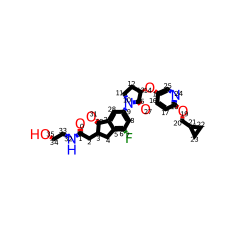 O=C(CC1Cc2c(F)cc(N3CC[C@@H](Oc4ccc(OCC5CC5)nc4)C3=O)cc2C1=O)NCCO